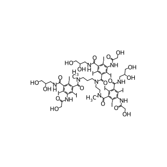 CN(CCCN(CCN(C)C(=O)c1c(I)c(NC(=O)CO)c(I)c(C(=O)NCC(O)CO)c1I)C(=O)c1c(I)c(NC(=O)CO)c(I)c(C(=O)NCC(O)CO)c1I)C(=O)c1c(I)c(NC(=O)CO)c(I)c(C(=O)NCC(O)CO)c1I